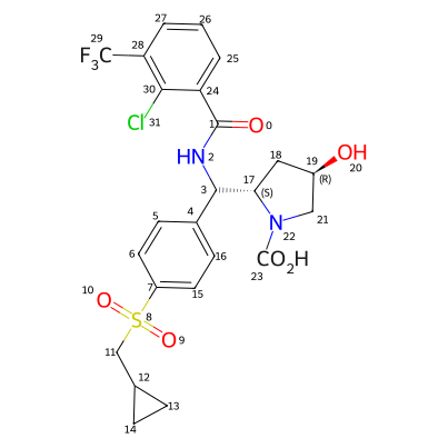 O=C(NC(c1ccc(S(=O)(=O)CC2CC2)cc1)[C@@H]1C[C@@H](O)CN1C(=O)O)c1cccc(C(F)(F)F)c1Cl